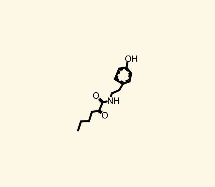 CCCCC(=O)C(=O)NCCc1ccc(O)cc1